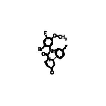 COc1cc(NC(=O)N2C=CC(=O)C[C@H]2c2ccc(F)cc2)c(Br)cc1F